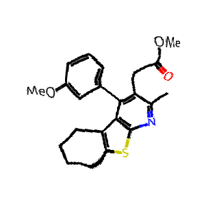 COC(=O)Cc1c(C)nc2sc3c(c2c1-c1cccc(OC)c1)CCCC3